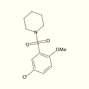 COc1ccc(Cl)cc1S(=O)(=O)N1CC[CH]CC1